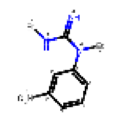 CCNC(=N)N(CC)c1cccc([N+](=O)[O-])c1